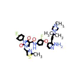 Cc1nc(Cn2cc(C(=O)Nc3ccc(Oc4ccnc(N)c4C#CC(C)(C)N4CCN(C)CC4)c(F)c3)c(=O)n(-c3ccc(F)cc3)c2=O)cs1